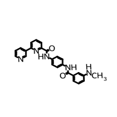 CNc1cccc(C(=O)Nc2ccc(NC(=O)c3cccc(-c4cccnc4)n3)cc2)c1